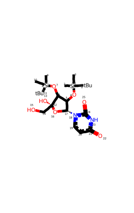 CC(C)(C)[Si](C)(C)OC1C(O[Si](C)(C)C(C)(C)C)[C@](O)(CO)O[C@H]1n1ccc(=O)[nH]c1=O